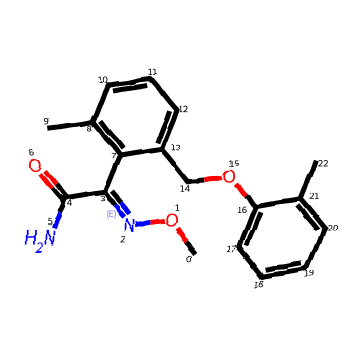 CO/N=C(/C(N)=O)c1c(C)cccc1COc1ccccc1C